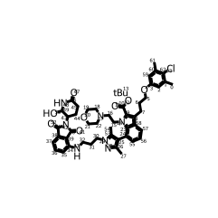 Cc1cc(OCCCc2c(C(=O)OC(C)(C)C)n(CCN3CCOCC3)c3c(-c4c(C)nn(CCCNc5cccc6c5C(=O)N(C5CCC(=O)NC5O)C6=O)c4C)cccc23)cc(C)c1Cl